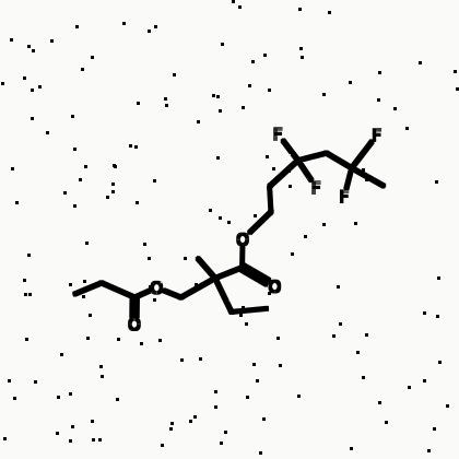 CCC(=O)OCC(C)(CC)C(=O)OCCC(F)(F)CC(C)(F)F